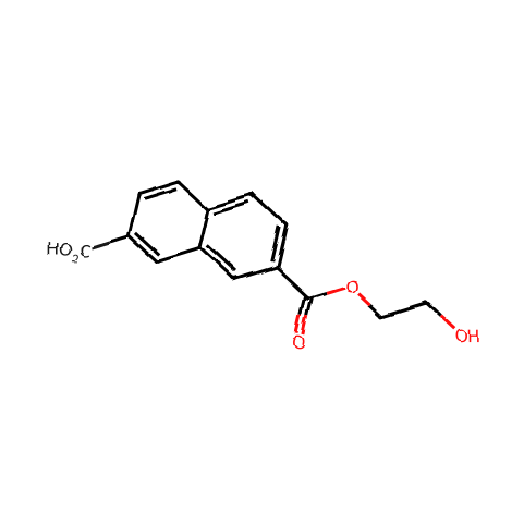 O=C(O)c1ccc2ccc(C(=O)OCCO)cc2c1